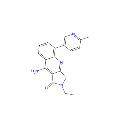 CCN1Cc2nc3c(-c4ccc(C)nc4)cccc3c(N)c2C1=O